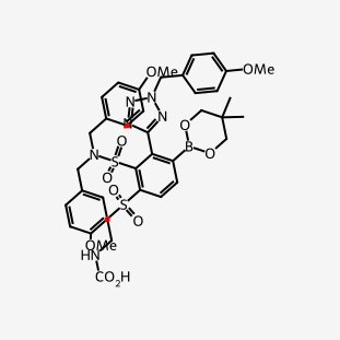 COc1ccc(CN(Cc2ccc(OC)cc2)S(=O)(=O)c2c(S(=O)(=O)CCNC(=O)O)ccc(B3OCC(C)(C)CO3)c2-c2nnn(Cc3ccc(OC)cc3)n2)cc1